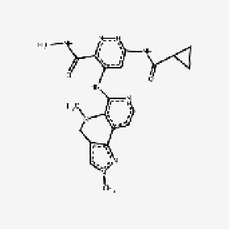 CNC(=O)c1nnc(NC(=O)C2CC2)cc1Nc1nccc2c1N(C)Cc1cn(C)nc1-2